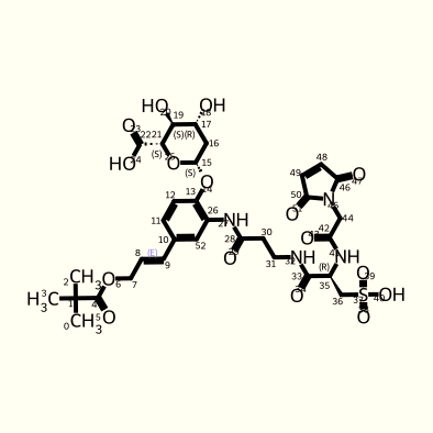 CC(C)(C)C(=O)OC/C=C/c1ccc(O[C@H]2C[C@@H](O)[C@H](O)[C@@H](C(=O)O)O2)c(NC(=O)CCNC(=O)[C@H](CS(=O)(=O)O)NC(=O)CN2C(=O)C=CC2=O)c1